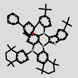 Cc1cc2c3c(c1)N(c1ccc(C(C)(C)C)cc1-c1cc#cc(-c4ccccc4)c1)c1c(oc4ccc(C(C)(C)C)cc14)B3c1cc3c(cc1N2c1ccc2c(c1)C(C)(C)CCC2(C)C)C(C)(C)CCC3(C)C